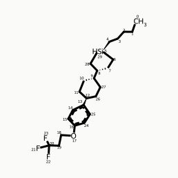 CCCCC[Si@H]1CC[C@H]([C@H]2CC[C@H](c3ccc(OCCC(F)(F)F)cc3)CC2)CC1